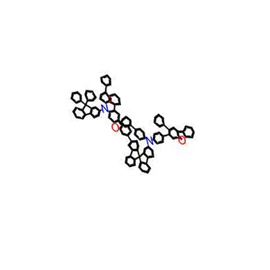 c1ccc(-c2ccc(N(c3ccc(-c4cc5oc6ccccc6c5cc4-c4ccccc4)cc3)c3ccc4c(c3)C3(c5ccccc5-c5cc(-c6ccc7c(c6)oc6cc(N(c8ccc(-c9ccccc9)cc8)c8ccc9c(c8)C(c8ccccc8)(c8ccccc8)c8ccccc8-9)c(-c8ccccc8)cc67)ccc53)c3ccccc3-4)cc2)cc1